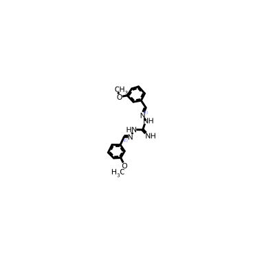 COc1cccc(/C=N/NC(=N)N/N=C/c2cccc(OC)c2)c1